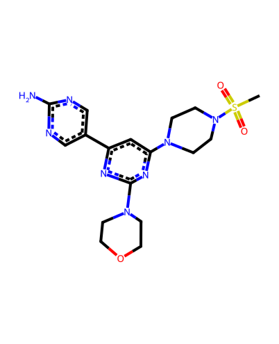 CS(=O)(=O)N1CCN(c2cc(-c3cnc(N)nc3)nc(N3CCOCC3)n2)CC1